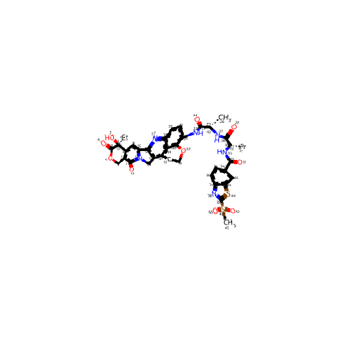 CC[C@@]1(O)C(=O)OCc2c1cc1n(c2=O)Cc2c-1nc1ccc(NC(=O)[C@H](C)NC(=O)[C@@H](NC(=O)c3ccc4nc(S(C)(=O)=O)sc4c3)C(C)C)c3c1c2CCO3